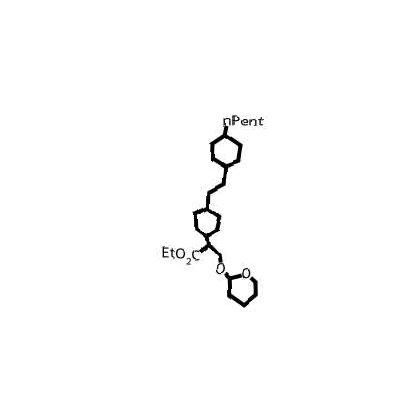 CCCCCC1CCC(CCC2CCC(C(COC3CCCCO3)C(=O)OCC)CC2)CC1